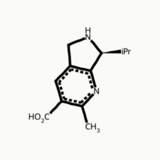 Cc1nc2c(cc1C(=O)O)CN[C@H]2C(C)C